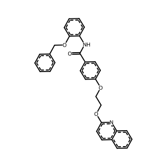 O=C(Nc1ccccc1OCc1ccccc1)c1ccc(OCCOc2ccc3ccccc3n2)cc1